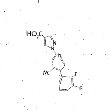 N#Cc1cc(-n2cc(C(=O)O)cn2)ncc1-c1cccc(F)c1F